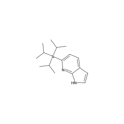 CC(C)[Si](c1ccc2cc[nH]c2n1)(C(C)C)C(C)C